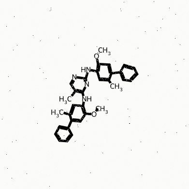 COc1cc(-c2ccccc2)c(C)cc1Nc1ncc(C)c(Nc2cc(C)c(-c3ccccc3)cc2OC)n1